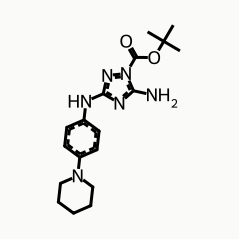 CC(C)(C)OC(=O)n1nc(Nc2ccc(N3CCCCC3)cc2)nc1N